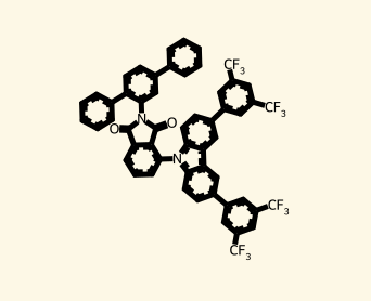 O=C1c2cccc(-n3c4ccc(-c5cc(C(F)(F)F)cc(C(F)(F)F)c5)cc4c4cc(-c5cc(C(F)(F)F)cc(C(F)(F)F)c5)ccc43)c2C(=O)N1c1cc(-c2ccccc2)ccc1-c1ccccc1